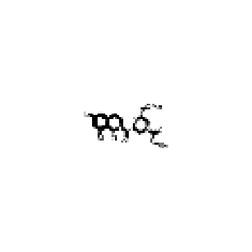 COC[C@@H]1CN(C(=O)OC(C)(C)C)C[C@H](C(=O)N2CCc3cc(Cl)cc(Cl)c3[C@@H]2C)O1